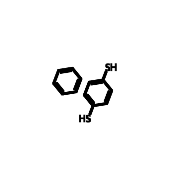 Sc1ccc(S)cc1.c1ccccc1